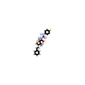 O=C(Nc1ccc(F)cc1)N[C@H]1CO[C@H]2[C@H](CCc3ccccc3)CO[C@@H]21